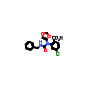 O=C(O)c1ccc(Cl)cc1N(C(=O)NCc1ccccc1)C1=COCO1